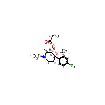 Cc1cc(F)ccc1[C@@]1(O)CCN(C(=O)O)C[C@@H]1OC(=O)C(C)(C)C